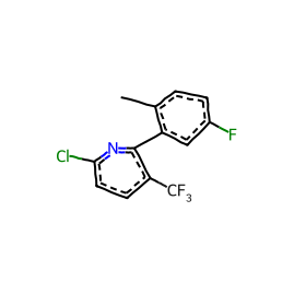 Cc1ccc(F)cc1-c1nc(Cl)ccc1C(F)(F)F